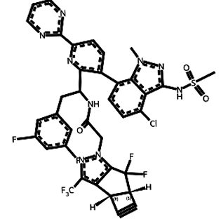 Cn1nc(NS(C)(=O)=O)c2c(Cl)ccc(-c3ccc(-c4ncccn4)nc3C(Cc3cc(F)cc(F)c3)NC(=O)Cn3nc(C(F)(F)F)c4c3C(F)(F)[C@@H]3C#C[C@H]43)c21